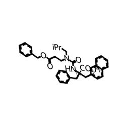 CC(C)CN(CCC(=O)OCc1ccccc1)C(=O)N[C@@](Cc1ccccc1)(Cc1ccc2ccccc2c1)C(=O)O